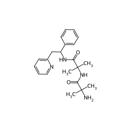 CC(C)(N)C(=O)NC(C)(C)C(=O)NC(Cc1ccccn1)c1ccccc1